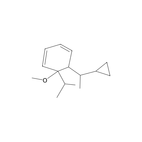 COC1(C(C)C)C=CC=CC1C(C)C1CC1